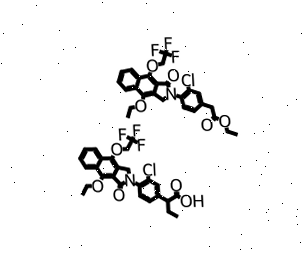 CCOC(=O)Cc1ccc(N2Cc3c(c(OCC(F)(F)F)c4ccccc4c3OCC)C2=O)c(Cl)c1.CCOc1c2c(c(OCC(F)(F)F)c3ccccc13)CN(c1ccc(C(CC)C(=O)O)cc1Cl)C2=O